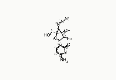 [N-]=[N+]=NC1[C@]2(CO)O[C@@H](n3ccc(N)nc3=O)[C@H](F)[C@@]12O